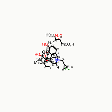 CC(CCC(=O)O)C(=O)O.CO[C@@]12CC[C@@]3(C[C@@H]1[C@](C)(O)C(C)(C)C)[C@H]1Cc4ccc(O)c5c4[C@@]3(CCN1CC1CC1)[C@H]2O5.Cl.O